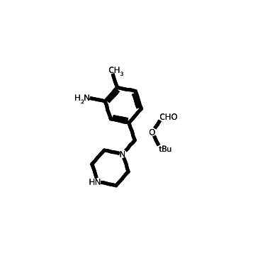 CC(C)(C)OC=O.Cc1ccc(CN2CCNCC2)cc1N